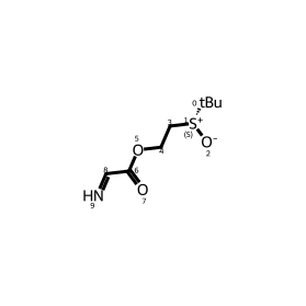 CC(C)(C)[S@+]([O-])CCOC(=O)C=N